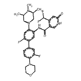 CC1CN(c2cc(F)c(-c3ccc(N4CCOCC4)c(F)c3)cc2NC(=O)c2c[nH]c(=O)cc2C(F)F)CC(C)N1C